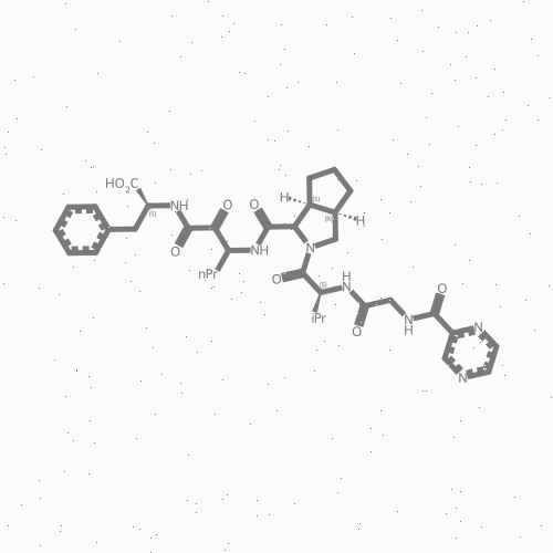 CCCC(NC(=O)C1[C@H]2CCC[C@H]2CN1C(=O)[C@@H](NC(=O)CNC(=O)c1cnccn1)C(C)C)C(=O)C(=O)N[C@@H](Cc1ccccc1)C(=O)O